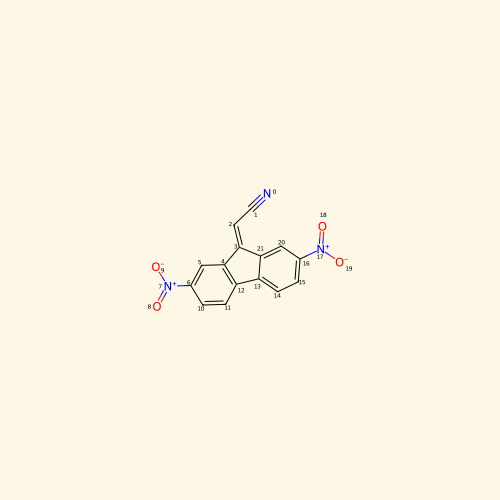 N#CC=C1c2cc([N+](=O)[O-])ccc2-c2ccc([N+](=O)[O-])cc21